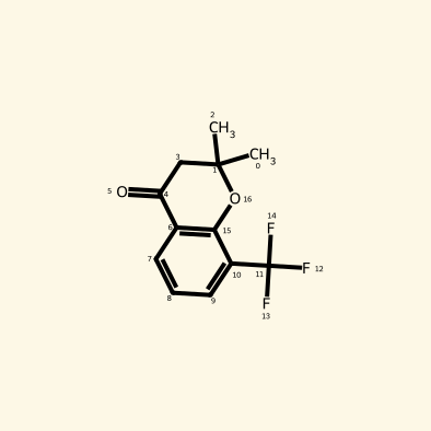 CC1(C)CC(=O)c2cccc(C(F)(F)F)c2O1